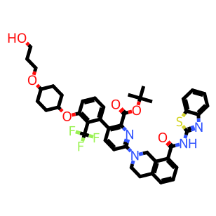 CC(C)(C)OC(=O)c1nc(N2CCc3cccc(C(=O)Nc4nc5ccccc5s4)c3C2)ccc1-c1cccc(OC2CCC(OCCCO)CC2)c1C(F)(F)F